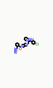 [N-]=[N+]=NCc1ccccc1C(=O)N1CC2CN(CC3=C(c4ccc(Cl)cc4)NC4C=CC=CN34)CC2C1